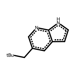 CC(C)(C)Cc1cnc2[nH]ccc2c1